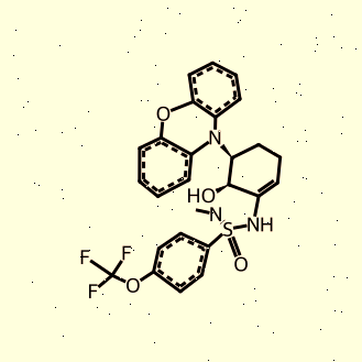 CN=S(=O)(NC1=CCC[C@H](N2c3ccccc3Oc3ccccc32)[C@@H]1O)c1ccc(OC(F)(F)F)cc1